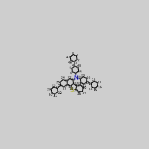 c1ccc(-c2ccc(N(c3ccc(-c4ccccc4)cc3)c3cc4ccc(-c5ccccc5)cc4c4sc5ccccc5c34)cc2)cc1